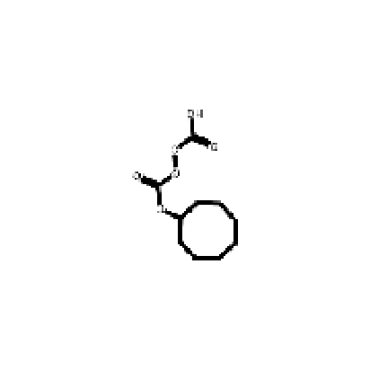 O=C(O)OOC(=O)OC1CCCCCCC1